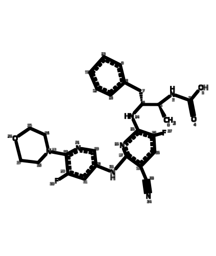 C[C@H](NC(=O)O)[C@@H](Cc1ccccc1)Nc1nc(Nc2cnc(N3CCOCC3)c(F)c2)c(C#N)cc1F